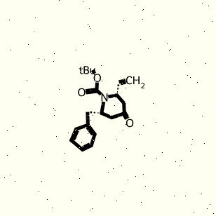 C=C[C@@H]1CC(=O)C[C@H](Cc2ccccc2)N1C(=O)OC(C)(C)C